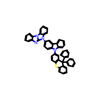 c1ccc(C2(c3ccccc3)c3ccccc3Sc3ccc(-n4c5ccccc5c5cc(-n6c7ccccc7n7c8ccccc8nc67)ccc54)cc32)cc1